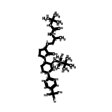 CC(COC1CCN([C@@H]2CCN(c3ncc(C(F)(F)F)cn3)C[C@@H]2O[Si](C)(C)C(C)(C)C)C1=O)NC(=O)OC(C)(C)C